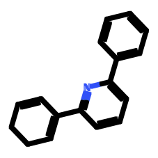 C1=CC(c2cccc(-c3ccccc3)n2)=CCC1